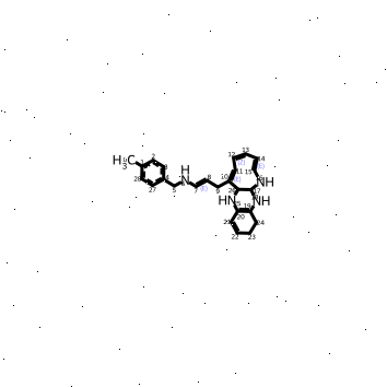 Cc1ccc(CN/C=C/C\C2=C/C=C\C=C\NC3NC4=C(C=CCC4)NC23)cc1